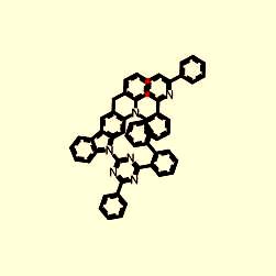 c1ccc(-c2cccc(-c3ccccc3N3c4ccccc4Cc4cc5c6ccccc6n(-c6nc(-c7ccccc7)nc(-c7ccccc7-c7ccccc7)n6)c5cc43)n2)cc1